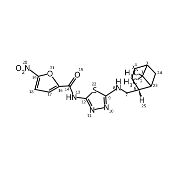 CC1(C)C2CC[C@@H](CNc3nnc(NC(=O)c4ccc([N+](=O)[O-])o4)s3)C1C2